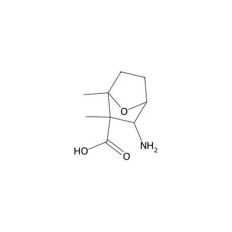 CC12CCC(O1)C(N)C2(C)C(=O)O